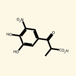 CC(C(=O)O)C(=O)c1cc(O)c(O)c([N+](=O)[O-])c1